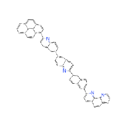 c1cnc2c(c1)ccc1ccc(-c3ccc4cc(-c5ccc6cc(-c7ccc8nc(-c9ccc%10ccc%11cccc%12ccc9c%10c%11%12)ccc8c7)ccc6n5)ccc4c3)nc12